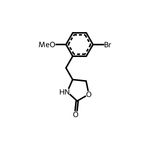 COc1ccc(Br)cc1CC1COC(=O)N1